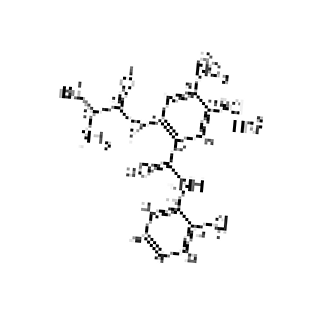 Br.CCC(C)C(N)C(=O)Oc1cc([N+](=O)[O-])c(Cl)cc1C(=O)Nc1ccccc1Cl